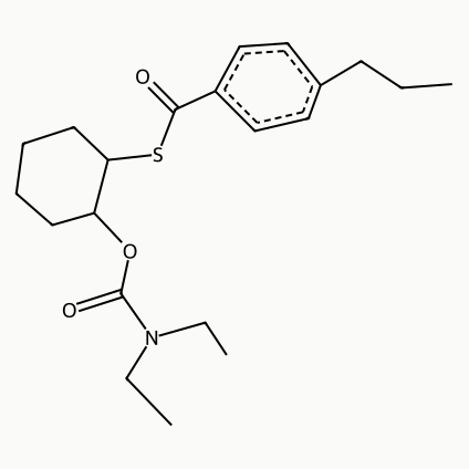 CCCc1ccc(C(=O)SC2CCCCC2OC(=O)N(CC)CC)cc1